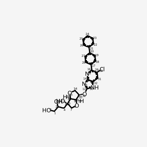 OCC(O)C[C@@]1(O)CO[C@@H]2[C@H](Oc3nc4nc(-c5ccc(-c6ccccc6)cc5)c(Cl)cc4[nH]3)CO[C@@H]21